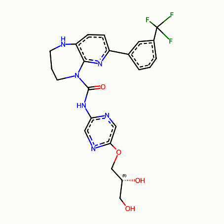 O=C(Nc1cnc(OC[C@H](O)CO)cn1)N1CCCNc2ccc(-c3cccc(C(F)(F)F)c3)nc21